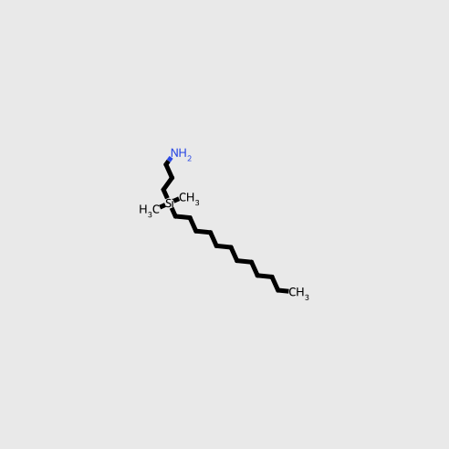 CCCCCCCCCCCC[Si](C)(C)CCCN